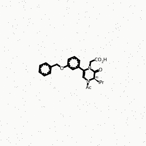 CC(=O)N1C=C(c2cccc(OCc3ccccc3)c2)N(CC(=O)O)C(=O)[C@H]1C(C)C